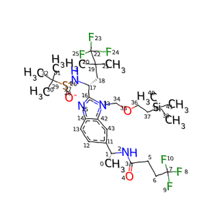 C[C@@H](NC(=O)CCC(F)(F)F)c1ccc2nc([C@@H](CC(C)(C)C(F)(F)F)N[S@@+]([O-])C(C)(C)C)n(COCC[Si](C)(C)C)c2c1